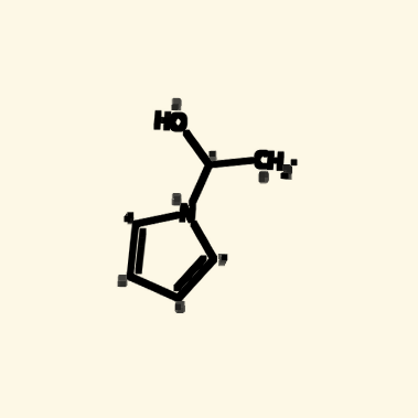 [CH2]C(O)n1cccc1